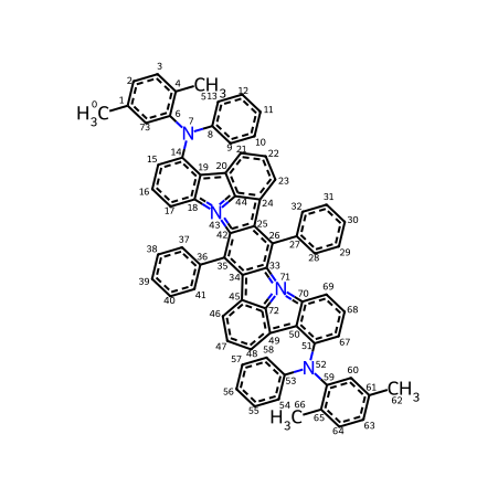 Cc1ccc(C)c(N(c2ccccc2)c2cccc3c2c2cccc4c5c(-c6ccccc6)c6c(c(-c7ccccc7)c5n3c24)c2cccc3c4c(N(c5ccccc5)c5cc(C)ccc5C)cccc4n6c32)c1